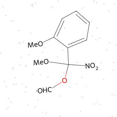 COc1ccccc1C(OC)(O[C]=O)[N+](=O)[O-]